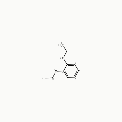 CCOc1ccccc1OCI